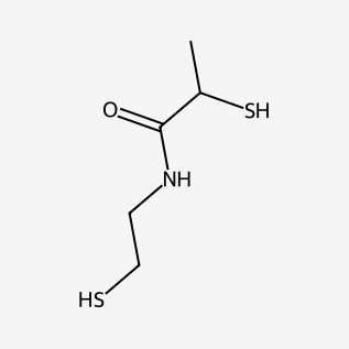 CC(S)C(=O)NCCS